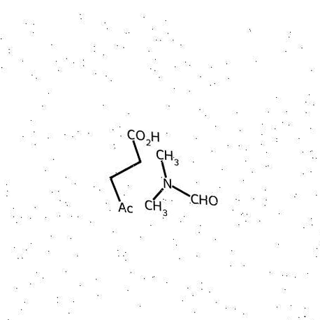 CC(=O)CCC(=O)O.CN(C)C=O